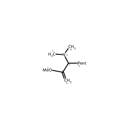 C=C(OC)C(C(C)CCC)N(C)C